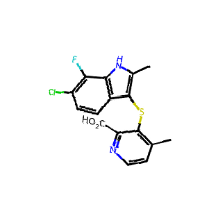 Cc1ccnc(C(=O)O)c1Sc1c(C)[nH]c2c(F)c(Cl)ccc12